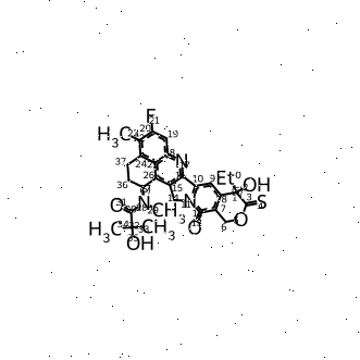 CC[C@@]1(O)C(=S)OCc2c1cc1n(c2=O)Cc2c-1nc1cc(F)c(C)c3c1c2[C@@H](N(C)C(=O)C(C)(C)O)CC3